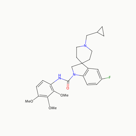 COc1ccc(NC(=O)N2CC3(CCN(CC4CC4)CC3)c3cc(F)ccc32)c(OC)c1OC